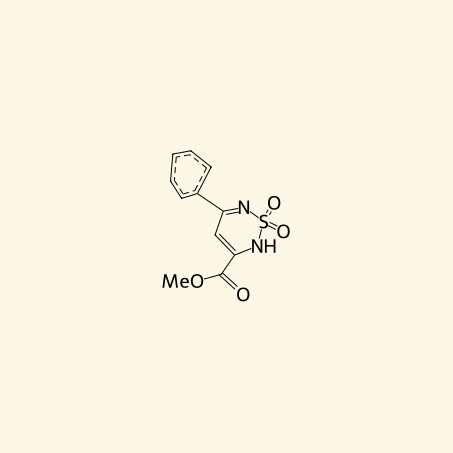 COC(=O)C1=CC(c2ccccc2)=NS(=O)(=O)N1